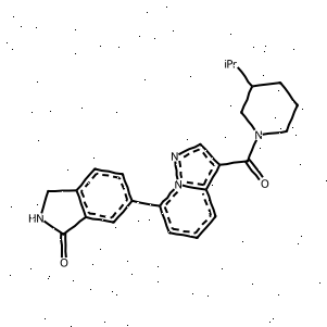 CC(C)C1CCCN(C(=O)c2cnn3c(-c4ccc5c(c4)C(=O)NC5)cccc23)C1